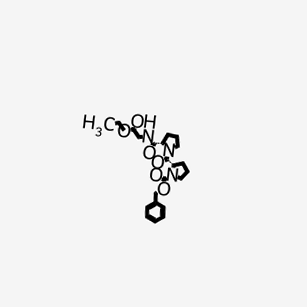 CCOC(=O)CNC(=O)[C@@H]1CCCN1C(=O)[C@@H]1CCCN1C(=O)OCc1ccccc1